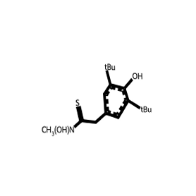 CN(O)C(=S)Cc1cc(C(C)(C)C)c(O)c(C(C)(C)C)c1